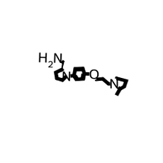 CC1CCCN1CCCOc1ccc(N2CCC[C@H]2CN)cc1